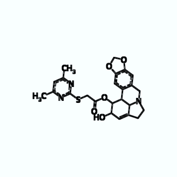 Cc1cc(C)nc(SCC(=O)OC2C(O)C=C3CCN4Cc5cc6c(cc5C2C34)OCO6)n1